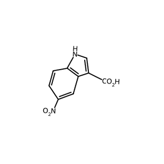 O=C(O)c1c[nH]c2ccc([N+](=O)[O-])cc12